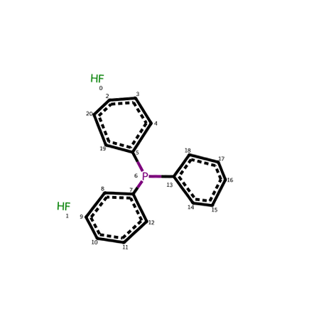 F.F.c1ccc(P(c2ccccc2)c2ccccc2)cc1